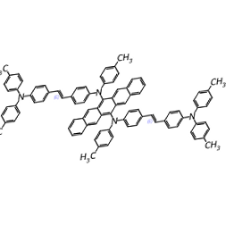 Cc1ccc(N(c2ccc(C)cc2)c2ccc(/C=C/c3ccc(N(c4ccc(C)cc4)c4c5cc6ccccc6cc5c(N(c5ccc(C)cc5)c5ccc(/C=C/c6ccc(N(c7ccc(C)cc7)c7ccc(C)cc7)cc6)cc5)c5cc6ccccc6cc45)cc3)cc2)cc1